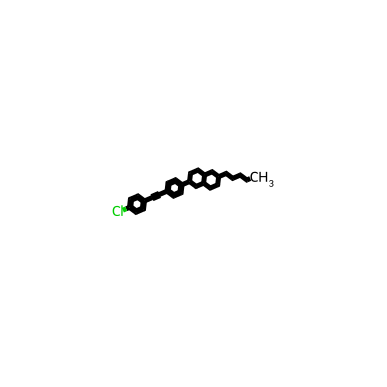 CCCCCC1CCC2CC(c3ccc(C#Cc4ccc(Cl)cc4)cc3)CCC2C1